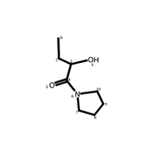 CCC(O)C(=O)N1CCCC1